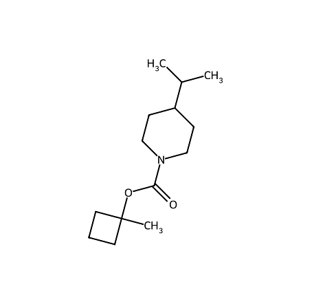 CC(C)C1CCN(C(=O)OC2(C)CCC2)CC1